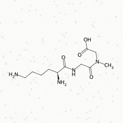 CN(CC(=O)O)C(=O)CNC(=O)[C@@H](N)CCCCN